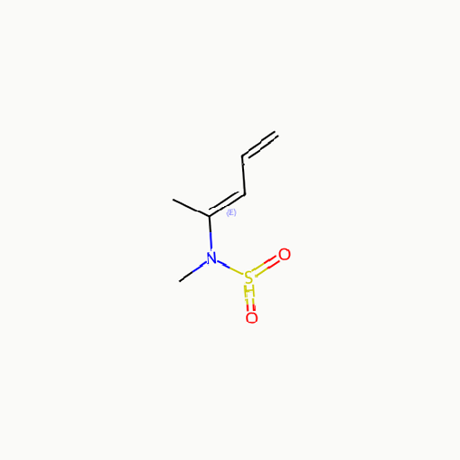 C=C/C=C(\C)N(C)[SH](=O)=O